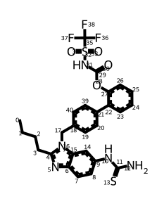 CCCCc1nc2ccc(NC(N)=S)cc2n1Cc1ccc(-c2ccccc2OC(=O)NS(=O)(=O)C(F)(F)F)cc1